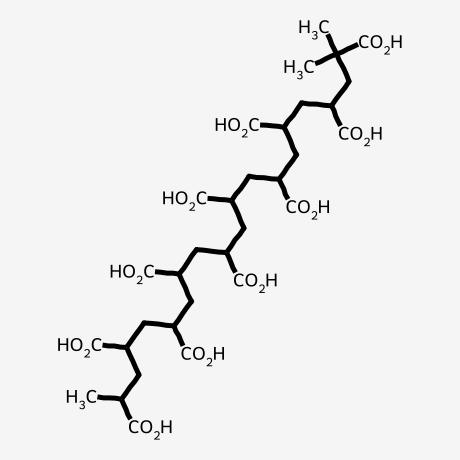 CC(CC(CC(CC(CC(CC(CC(CC(CC(CC(C)(C)C(=O)O)C(=O)O)C(=O)O)C(=O)O)C(=O)O)C(=O)O)C(=O)O)C(=O)O)C(=O)O)C(=O)O